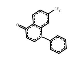 O=c1ccn(-c2ccccc2)c2cc(C(F)(F)F)ccc12